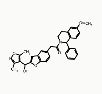 COc1ccc2c(c1)CCN(C(=O)Cc1ccc3oc(C(O)c4c(C)noc4C)cc3c1)C2c1ccccc1